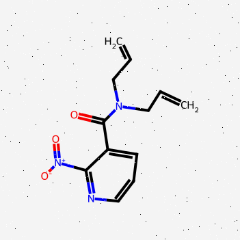 C=CCN(CC=C)C(=O)c1cccnc1[N+](=O)[O-]